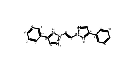 C(=C[N+]1N=CC(c2ccccc2)=N1)[N+]1N=CC(c2ccccc2)=N1